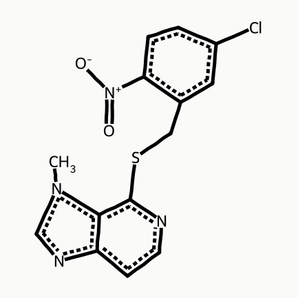 Cn1cnc2ccnc(SCc3cc(Cl)ccc3[N+](=O)[O-])c21